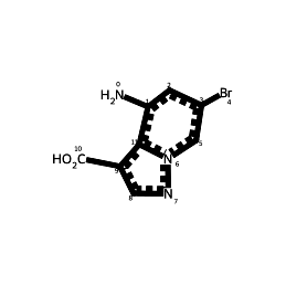 Nc1cc(Br)cn2ncc(C(=O)O)c12